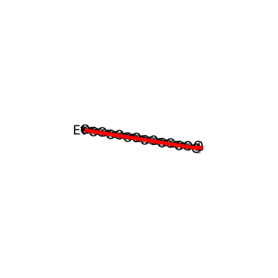 C=C(C)C(=O)OCCCCOCCCCOCCCCOCCCCOCCCCOCCCCOCCCCOCCCCOCCCCOCCCCOCCCCOCCCCOCCCCOCC